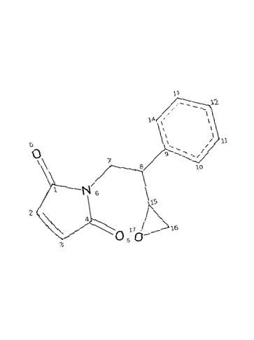 O=C1C=CC(=O)N1CC(c1ccccc1)C1CO1